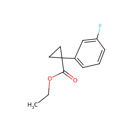 CCOC(=O)C1(c2cccc(F)c2)CC1